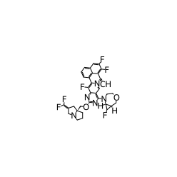 C#Cc1c(F)c(F)cc2cccc(-c3ncc4c(N5CCOC[C@@H]6[C@@H](F)[C@@H]65)nc(OC[C@@]56CCCN5CC(=C(F)F)C6)nc4c3F)c12